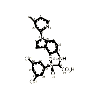 Cc1ccnc(-n2ccc3cc(NC(C(=O)O)S(=O)(=O)c4cc(Cl)cc(Cl)c4)ccc32)c1